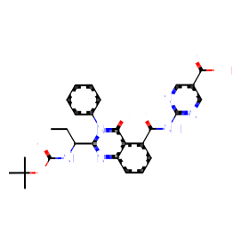 CCC(NC(=O)OC(C)(C)C)c1nc2cccc(C(=O)Nc3ncc(C(=O)O)cn3)c2c(=O)n1-c1ccccc1